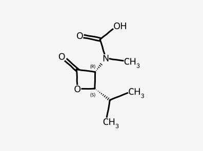 CC(C)[C@@H]1OC(=O)[C@@H]1N(C)C(=O)O